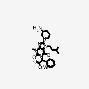 COC(=O)C(c1ccccc1)n1c(=O)c2c(nc(N3CCCC(N)C3)n2CC=C(C)C)n(C)c1=O